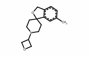 Cc1ccc2c(c1)C1(CCN(C3COC3)CC1)OC2